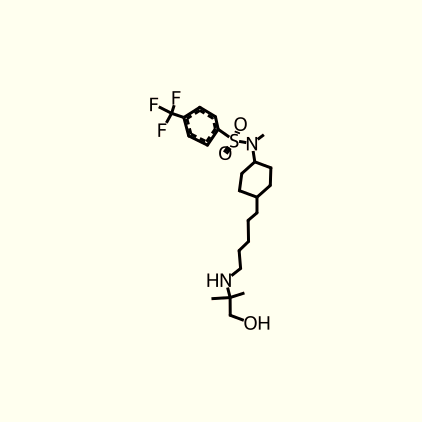 CN(C1CCC(CCCCCNC(C)(C)CO)CC1)S(=O)(=O)c1ccc(C(F)(F)F)cc1